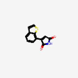 O=C1C=C(c2cccc3ccsc23)C(=O)N1